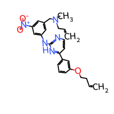 C=CCCOc1cccc(-c2ccnc(Nc3cc(CN(C)CC=C)cc([N+](=O)[O-])c3)n2)c1